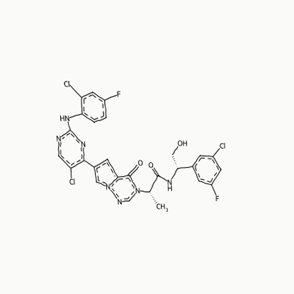 C[C@@H](C(=O)N[C@H](CO)c1cc(F)cc(Cl)c1)n1cnn2cc(-c3nc(Nc4ccc(F)cc4Cl)ncc3Cl)cc2c1=O